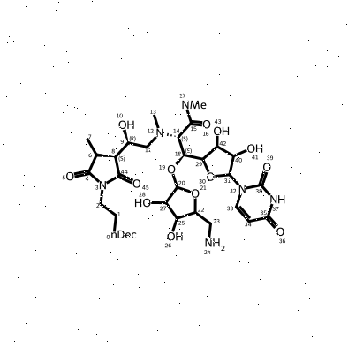 CCCCCCCCCCCCN1C(=O)C(C)[C@@H]([C@@H](O)CN(C)[C@H](C(=O)NC)[C@H](OC2OC(CN)C(O)C2O)C2OC(n3ccc(=O)[nH]c3=O)C(O)C2O)C1=O